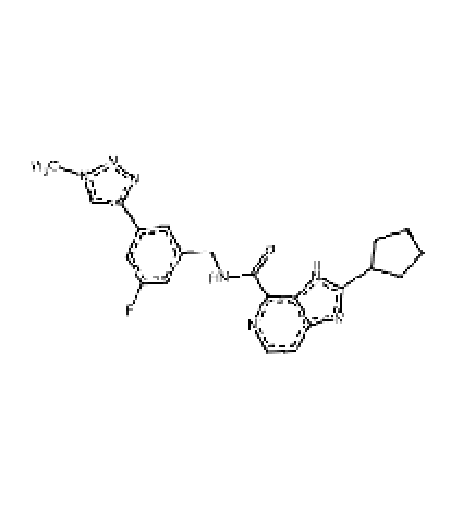 Cn1cc(-c2cc(F)cc(CNC(=O)c3nccc4nc(C5CCCC5)[nH]c34)c2)nn1